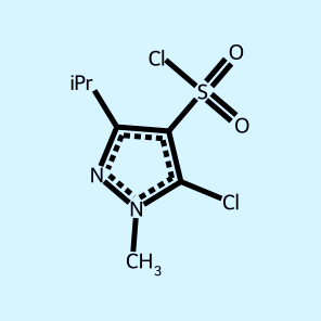 CC(C)c1nn(C)c(Cl)c1S(=O)(=O)Cl